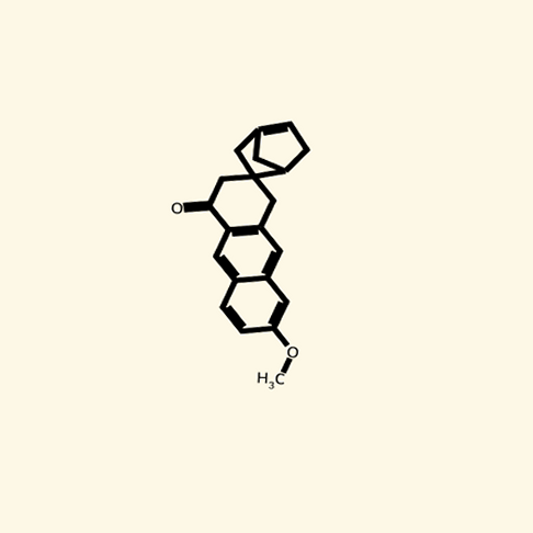 COc1ccc2cc3c(cc2c1)CC1(CC3=O)CC2=CCC1C2